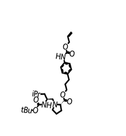 C=CCOC(=O)Nc1ccc(CCCOC(=O)[C@@H]2CCCN2C[C@H](CC(C)C)NC(=O)OC(C)(C)C)cc1